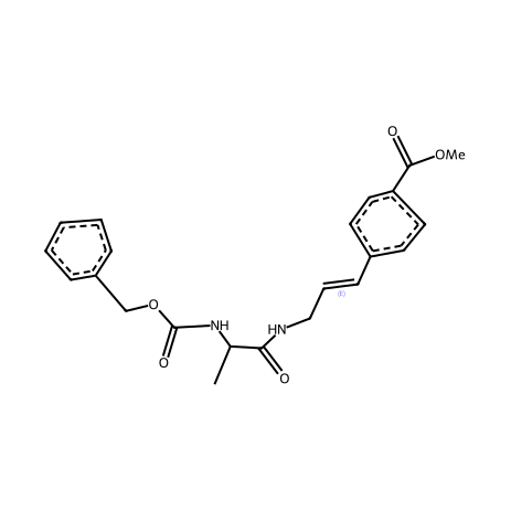 COC(=O)c1ccc(/C=C/CNC(=O)C(C)NC(=O)OCc2ccccc2)cc1